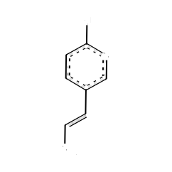 NC=Cc1ccc(Cl)nc1